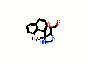 CC1(c2cccc3ccccc23)NCNC1C(=O)C=O